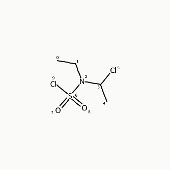 CCN(C(C)Cl)S(=O)(=O)Cl